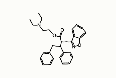 CCN(CC)CCOC(=O)C(c1noc2ccccc12)C(Cc1ccccc1)c1ccccc1